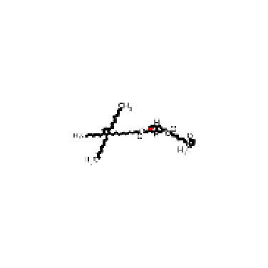 C=C1C=CC(=O)N1CCCCCC(=O)OCC1C[C@@H]2C3CC(CC3COC(=O)CCCCCCCCC3C(CCCCCCCC)CCC(CCCCCC)C3CCCCCCCC)[C@@H]2C1